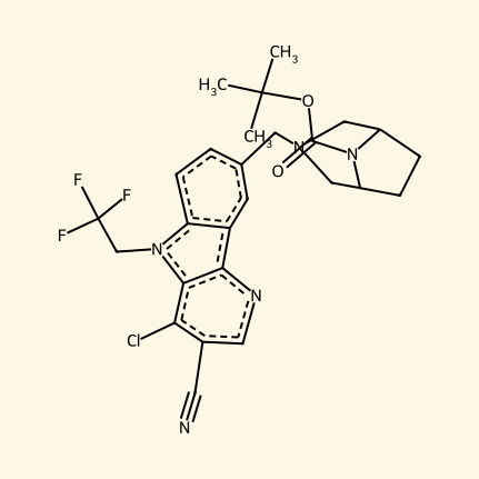 CC(C)(C)OC(=O)N1C2CCC1CN(Cc1ccc3c(c1)c1ncc(C#N)c(Cl)c1n3CC(F)(F)F)C2